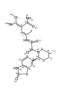 C=N/C(OC)=C(\C=C(/C)NC(=O)C(=O)N1C[C@H](C)CC[C@H]1c1ccc2c(c1)CC(=O)N2)C(N)=O